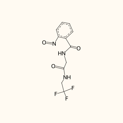 O=Nc1ccccc1C(=O)NCC(=O)NCC(F)(F)F